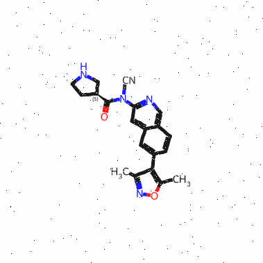 Cc1noc(C)c1-c1ccc2cnc(N(C#N)C(=O)[C@H]3CCNC3)cc2c1